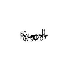 CC(C)NC(=O)CN1CCc2sc(-c3noc(C(F)(F)F)n3)cc2C1